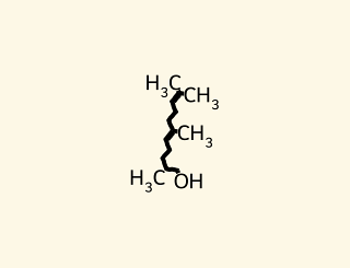 CC(C)=CCC/C(C)=C/CC[C@H](C)CO